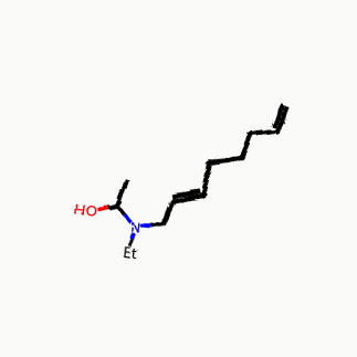 C=CCCCC=CCN(CC)C(C)O